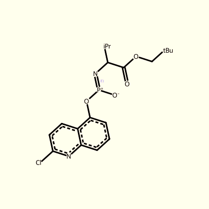 CC(C)C(/N=[P+](\[O-])Oc1cccc2nc(Cl)ccc12)C(=O)OCC(C)(C)C